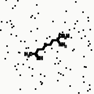 CC(=N)CCSCC[C@H](N)C(=O)O